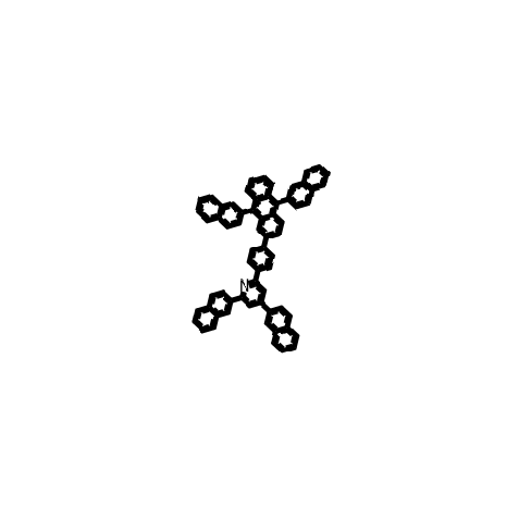 c1ccc2cc(-c3cc(-c4ccc(-c5ccc6c(-c7ccc8ccccc8c7)c7ccccc7c(-c7ccc8ccccc8c7)c6c5)cc4)nc(-c4ccc5ccccc5c4)c3)ccc2c1